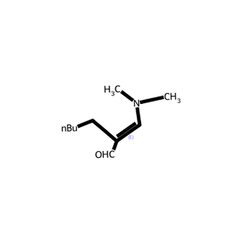 CCCCC/C(C=O)=C\N(C)C